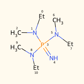 CCN(C)P(=N)(N(C)CC)N(C)CC